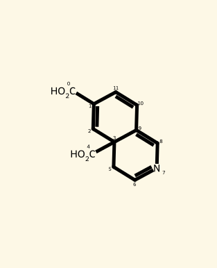 O=C(O)C1=CC2(C(=O)O)CC=NC=C2C=C1